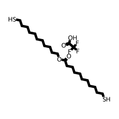 O=C(CCCCCCCCCCS)OCCCCCCCCCCCS.O=C(O)C(F)(F)F